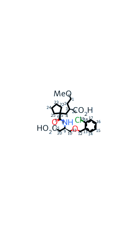 COCC[C@H](CC1(C(=O)N[C@@H](COCc2ccccc2Cl)CC(=O)O)CCCC1)C(=O)O